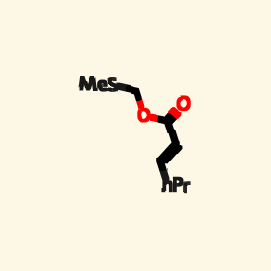 CCCC=CC(=O)OCSC